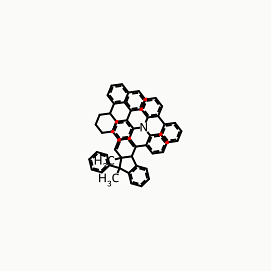 CC1(c2ccccc2)c2ccccc2C2C(c3ccccc3N(c3ccccc3-c3ccccc3)c3ccccc3-c3cccc4cccc(C5CCCCC5)c34)=CC=CC21C